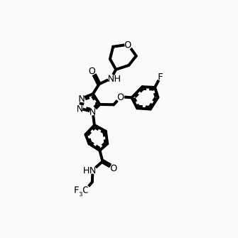 O=C(NCC(F)(F)F)c1ccc(-n2nnc(C(=O)NC3CCOCC3)c2COc2cccc(F)c2)cc1